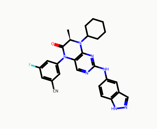 C[C@@H]1C(=O)N(c2cc(F)cc(C#N)c2)c2cnc(Nc3ccc4[nH]ncc4c3)nc2N1C1CCCCC1